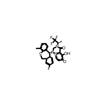 Cc1cccc2c1SCC1C=C(F)C=CC1[C@@H]2N1CN([C@H](C)C(F)(F)F)C(=O)c2c(O)c(=O)ccn21